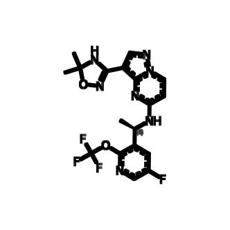 C[C@@H](Nc1ccn2ncc(C3=NOC(C)(C)N3)c2n1)c1cc(F)cnc1OC(F)(F)F